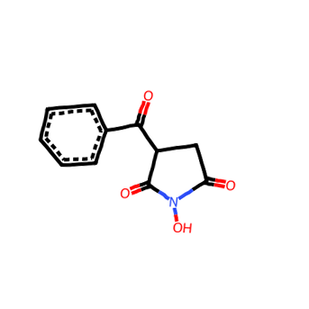 O=C(c1ccccc1)C1CC(=O)N(O)C1=O